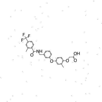 Cc1cc(Oc2cccc(CNC(=O)c3ccc(C(F)(F)F)cc3C)c2)ccc1OCC(=O)O